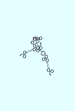 C=CC(=O)OCCCCOC(=O)Oc1ccc(C(=O)OC2(OC(=O)OCCCCOC(=O)C=C)C=CC(C(=O)O)C(C)(c3ccccc3OC)C2)cc1